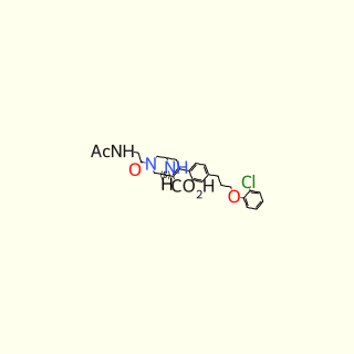 CC(=O)NCC(=O)N1CC2CC(c3ccc(CCCOc4ccccc4Cl)cc3)=C(C(=O)O)[C@@H](C1)N2